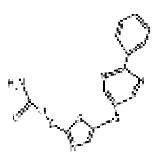 NC(=O)OCc1ncc(Sc2cnc(-c3ccccc3)nc2)s1